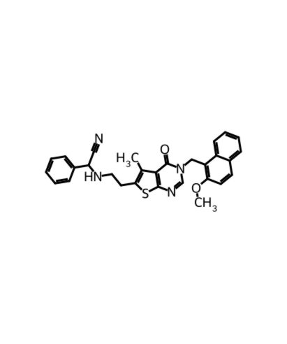 COc1ccc2ccccc2c1Cn1cnc2sc(CCNC(C#N)c3ccccc3)c(C)c2c1=O